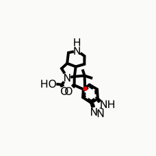 CC(C)(C)C1(C(=O)c2ccc3[nH]nnc3c2)C2CCNCC2CN1C(=O)O